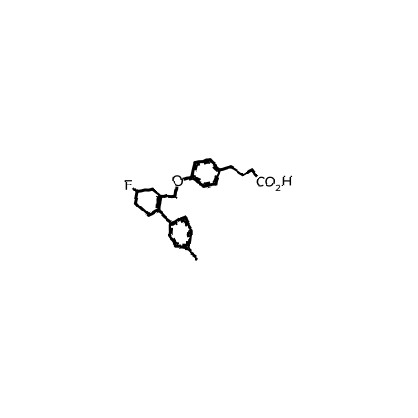 Cc1ccc(C2=C(COc3ccc(CCCC(=O)O)cc3)CC(F)CC2)cc1